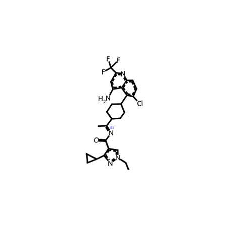 CCn1cc(C(=O)/N=C(\C)C2CCC(c3c(Cl)ccc4nc(C(F)(F)F)cc(N)c34)CC2)c(C2CC2)n1